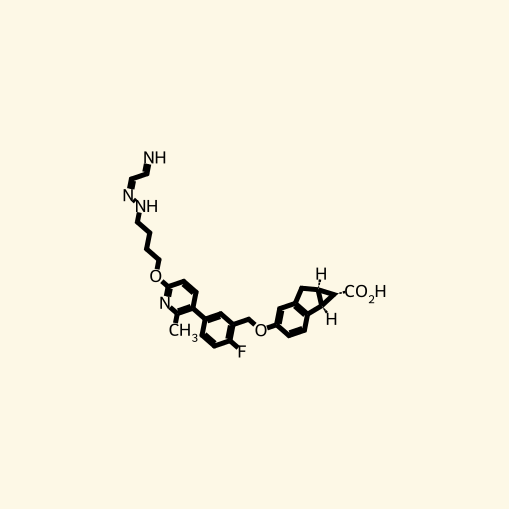 Cc1nc(OCCCCN/N=C\C=N)ccc1-c1ccc(F)c(COc2ccc3c(c2)C[C@H]2[C@H](C(=O)O)[C@@H]32)c1